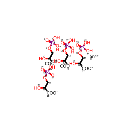 O=C([O-])C(O)COP(=O)(O)O.O=C([O-])C(O)COP(=O)(O)O.O=C([O-])C(O)COP(=O)(O)O.O=C([O-])C(O)COP(=O)(O)O.[Sn+4]